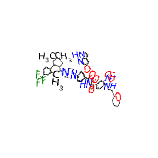 Cc1cc(C(F)(F)F)ccc1C1=C(CN2CCN(c3ccc(C(=O)NS(=O)(=O)c4ccc(NCCC5CCCCO5)c([N+](=O)[O-])c4)c(Oc4cnc5[nH]ccc5c4)c3)CC2)CCC(C)(C)C1